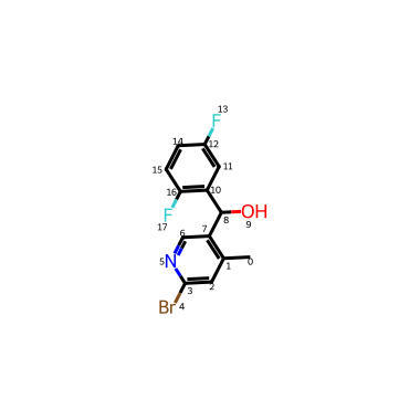 Cc1cc(Br)ncc1C(O)c1cc(F)ccc1F